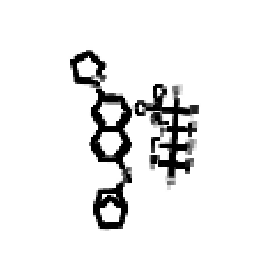 O=S(=O)([O-])C(F)(F)C(F)(F)C(F)(F)C(F)(F)F.c1cc2cc([S+]3CCCC3)ccc2cc1SC1CC2CCC1C2